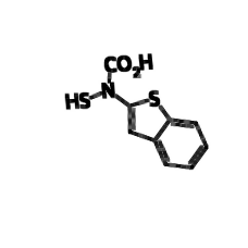 O=C(O)N(S)c1cc2ccccc2s1